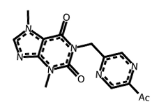 CC(=O)c1cnc(Cn2c(=O)c3c(ncn3C)n(C)c2=O)cn1